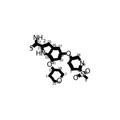 CS(=O)(=O)c1ccc(Oc2cc(OC3CCOCC3)c3[nH]c(C(N)=S)cc3c2)cn1